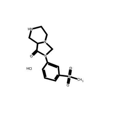 CS(=O)(=O)c1cccc(N2CN3CCNCC3C2=O)c1.Cl